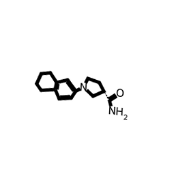 NC(=O)[C@H]1CCN(c2ccc3c(c2)CCCC3)C1